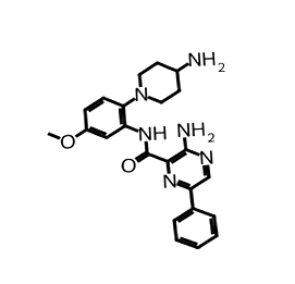 COc1ccc(N2CCC(N)CC2)c(NC(=O)c2nc(-c3ccccc3)cnc2N)c1